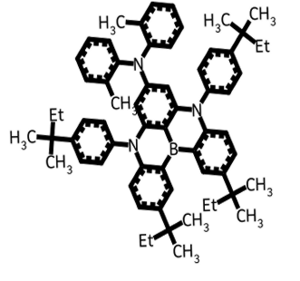 CCC(C)(C)c1ccc(N2c3ccc(C(C)(C)CC)cc3B3c4cc(C(C)(C)CC)ccc4N(c4ccc(C(C)(C)CC)cc4)c4cc(N(c5ccccc5C)c5ccccc5C)cc2c43)cc1